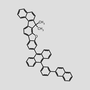 CC1(C)c2ccc3ccccc3c2-c2ccc3c(oc4cc(-c5c6ccccc6c(-c6cccc(-c7ccc8ccccc8c7)c6)c6ccccc56)ccc43)c21